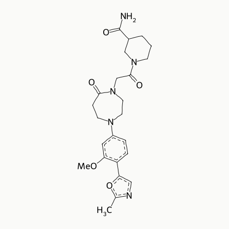 COc1cc(N2CCC(=O)N(CC(=O)N3CCCC(C(N)=O)C3)CC2)ccc1-c1cnc(C)o1